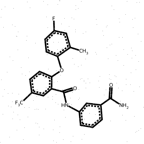 Cc1cc(F)ccc1Oc1ccc(C(F)(F)F)cc1C(=O)Nc1cccc(C(N)=O)c1